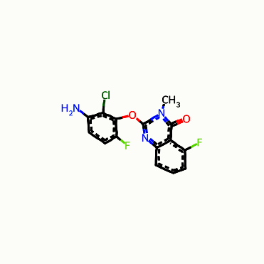 Cn1c(Oc2c(F)ccc(N)c2Cl)nc2cccc(F)c2c1=O